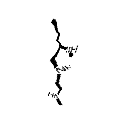 CCCC(CNCCNC)NC